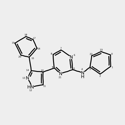 c1ccc(Nc2nccc(-c3c[nH]nc3-c3ccccc3)n2)cc1